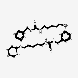 O=C(NCCCCCO)OCc1ccccc1.O=C(NCCCCCOC1CCCCO1)OCc1ccccc1